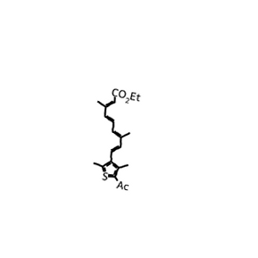 CCOC(=O)C=C(C)C=CC=C(C)C=Cc1c(C)sc(C(C)=O)c1C